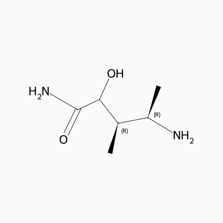 C[C@@H](N)[C@@H](C)C(O)C(N)=O